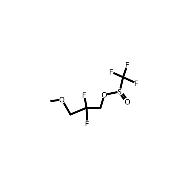 COCC(F)(F)COS(=O)C(F)(F)F